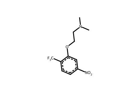 CN(C)CCOc1cc([N+](=O)[O-])ccc1C(F)(F)F